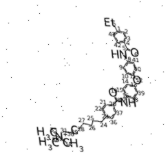 CCc1ccc(C(=O)Nc2ccc(Oc3ccc(NC(=O)c4ccc(CCCCCCCC[N+](C)(C)C)cc4)cc3)cc2)cc1